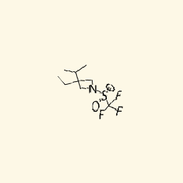 CCC1(C(C)C)CN(S(=O)(=O)C(F)(F)F)C1